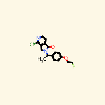 CC(c1ccc(OCCF)cc1)N1Cc2c(ccnc2Cl)C1=O